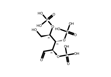 O=C[C@H](OP(=O)(O)O)[C@@H](OP(=O)(O)O)[C@@H](CO)OP(=O)(O)O